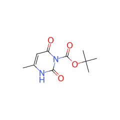 Cc1cc(=O)n(C(=O)OC(C)(C)C)c(=O)[nH]1